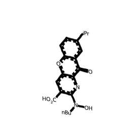 CCCCN(O)c1nc2c(=O)c3cc(C(C)C)ccc3oc2cc1C(=O)O